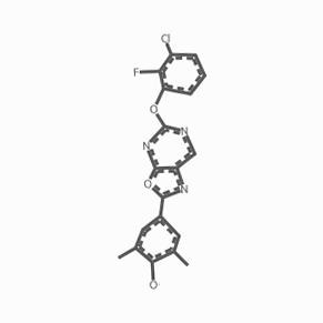 Cc1cc(-c2nc3cnc(Oc4cccc(Cl)c4F)nc3o2)cc(C)c1[O]